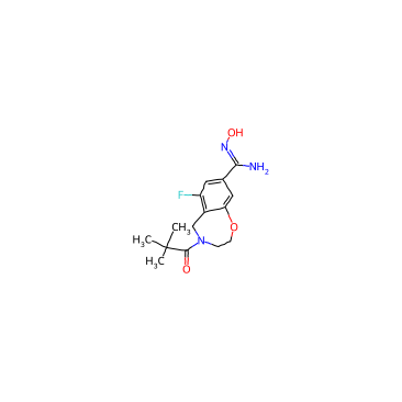 CC(C)(C)C(=O)N1CCOc2cc(C(N)=NO)cc(F)c2C1